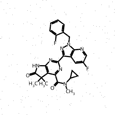 CN(C(=O)c1nc(-c2nn(Cc3ccccc3F)c3ncc(F)cc23)nc2c1C(C)(C)C(=O)N2)C1CC1